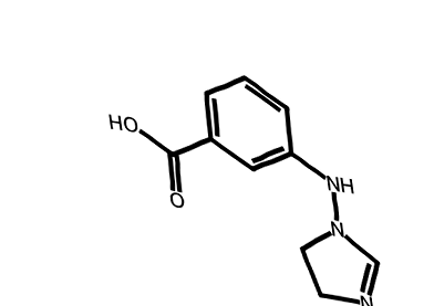 O=C(O)c1cccc(NN2C=NCC2)c1